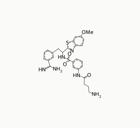 COc1ccc2nc(C(Cc3cccc(C(=N)N)c3)NS(=O)(=O)c3cccc(NC(=O)CCCN)c3)sc2c1